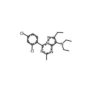 CCc1nn2c(-c3ccc(Cl)cc3Cl)nc(C)nc2c1N(CC)CC